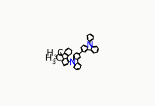 CC1(C)C2=C(CCC=C2)c2c(-n3c4ccccc4c4cc(-c5ccc6c(c5)c5ccccc5n6-c5ccccc5)ccc43)cccc21